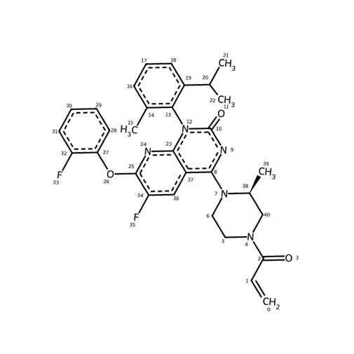 C=CC(=O)N1CCN(c2nc(=O)n(-c3c(C)cccc3C(C)C)c3nc(Oc4ccccc4F)c(F)cc23)[C@@H](C)C1